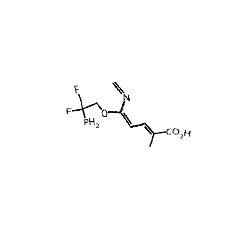 C=N/C(=C\C=C(/C)C(=O)O)OCC(F)(F)P